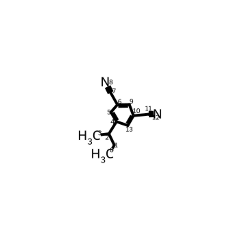 CCC(C)c1cc(C#N)cc(C#N)c1